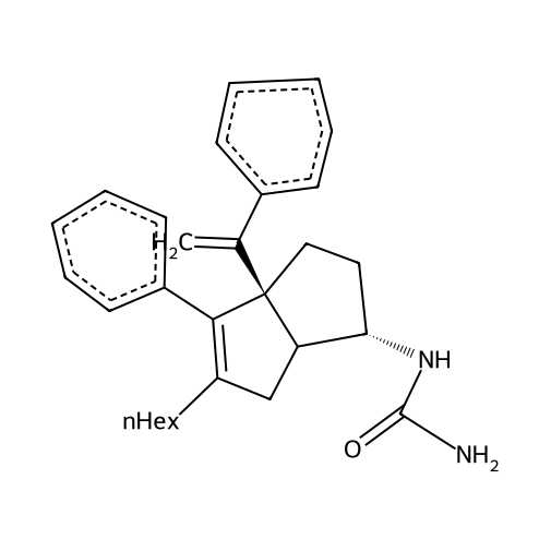 C=C(c1ccccc1)[C@@]12CC[C@H](NC(N)=O)C1CC(CCCCCC)=C2c1ccccc1